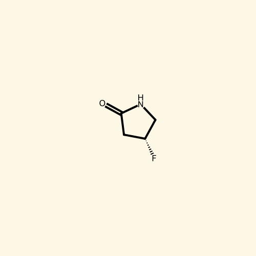 O=C1C[C@@H](F)CN1